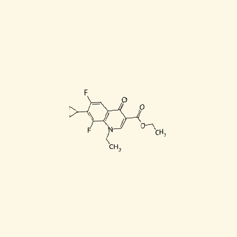 CCOC(=O)c1cn(CC)c2c(F)c(C3CC3)c(F)cc2c1=O